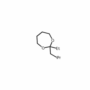 CCC1(CC(C)C)OCCCCO1